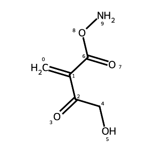 C=C(C(=O)CO)C(=O)ON